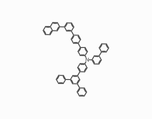 c1ccc(-c2cc(-c3ccccc3)cc(-c3ccc(N(c4ccc(-c5ccc(-c6cccc(-c7ccc8ccccc8c7)c6)cc5)cc4)c4cccc(-c5ccccc5)c4)cc3)c2)cc1